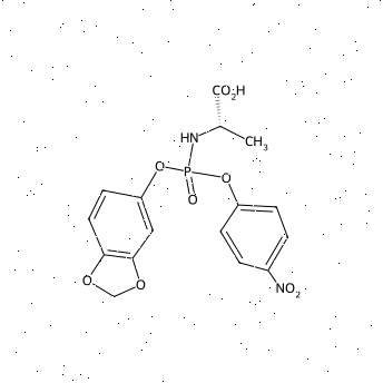 C[C@H](NP(=O)(Oc1ccc([N+](=O)[O-])cc1)Oc1ccc2c(c1)OCO2)C(=O)O